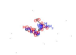 CC[C@H](C)[C@@H]([C@@H](CC(=O)N1CCC[C@H]1[C@H](OC)[C@@H](C)C(=O)N[C@H](C)[C@@H](O)c1ccccc1)OC)N(C)C(=O)[C@@H](NC(=O)[C@H](C(C)C)N(C)C(=O)OCc1ccc(NC(=O)[C@H](CCCNC(N)=O)NC(=O)[C@@H](NC(=O)CCCCCC2C(=O)C=CC2=O)C(C)C)cc1)C(C)C